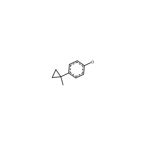 [CH2]C1(c2ccc(Cl)cc2)CC1